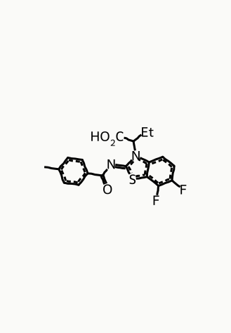 CCC(C(=O)O)n1c(=NC(=O)c2ccc(C)cc2)sc2c(F)c(F)ccc21